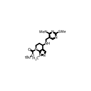 CNc1nc(SC)ncc1CNC1CCN(C(=O)OC(C)(C)C)c2c1cnn2C